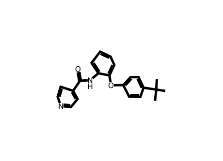 CC(C)(C)c1ccc(Oc2ccccc2NC(=O)c2ccncc2)cc1